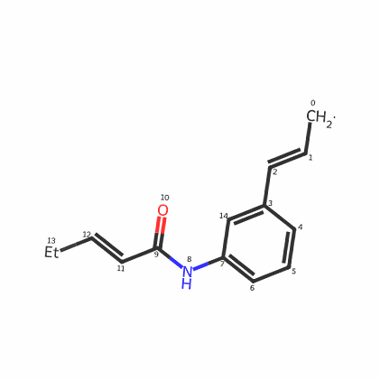 [CH2]/C=C/c1cccc(NC(=O)C=CCC)c1